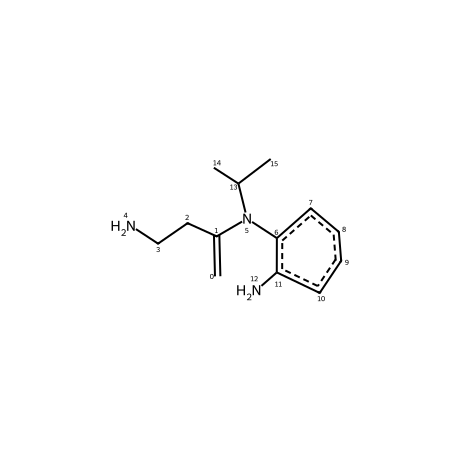 C=C(CCN)N(c1ccccc1N)C(C)C